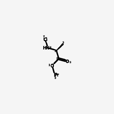 CC(C)OC(=O)[C@H](C)NCl